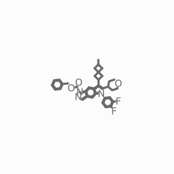 CC1CC2(C1)CC(c1c(C3CCOCC3)n(-c3ccc(F)c(F)c3)c3cc4cnn(C(=O)OCc5ccccc5)c4cc13)C2